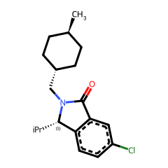 CC(C)[C@H]1c2ccc(Cl)cc2C(=O)N1C[C@H]1CC[C@H](C)CC1